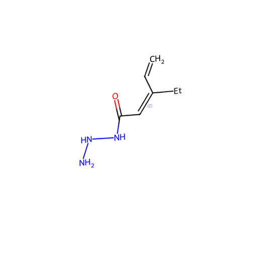 C=C/C(=C\C(=O)NNN)CC